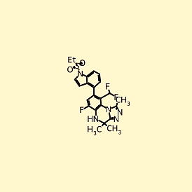 CCS(=O)(=O)n1ccc2c(-c3cc(F)c4c(c3C(F)F)-n3c(C)nnc3C(C)(C)N4)cccc21